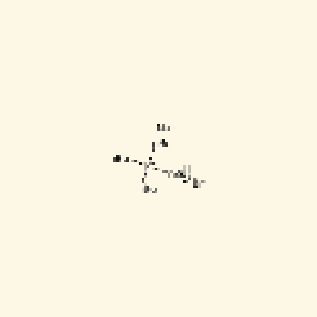 CCCC[P+](CCCC)(CCCC)CCCC.[Br-].[Na+].[OH-]